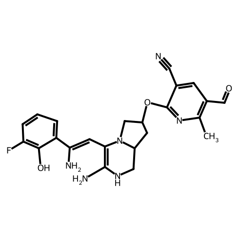 Cc1nc(OC2CC3CNC(N)=C(/C=C(\N)c4cccc(F)c4O)N3C2)c(C#N)cc1C=O